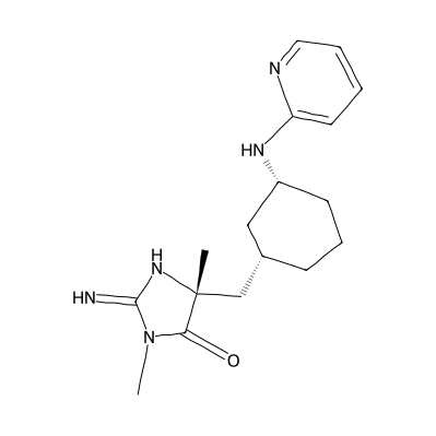 CN1C(=N)N[C@](C)(C[C@H]2CCC[C@@H](Nc3ccccn3)C2)C1=O